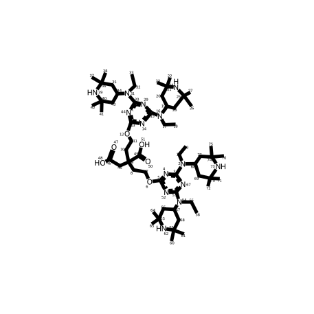 CCN(c1nc(OCCC(CCOc2nc(N(CC)C3CC(C)(C)NC(C)(C)C3)nc(N(CC)C3CC(C)(C)NC(C)(C)C3)n2)(CC(=O)O)C(=O)O)nc(N(CC)C2CC(C)(C)NC(C)(C)C2)n1)C1CC(C)(C)NC(C)(C)C1